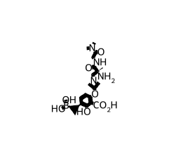 CN(C)C(=O)CNC(=O)[C@@](C)(N)CN1CC(Oc2ccc([C@H]3C[C@H]3B(O)O)c(O)c2C(=O)O)C1